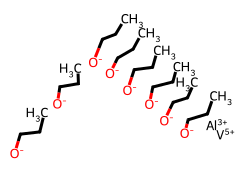 CCC[O-].CCC[O-].CCC[O-].CCC[O-].CCC[O-].CCC[O-].CCC[O-].CCC[O-].[Al+3].[V+5]